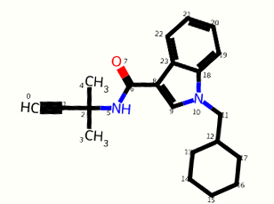 C#CC(C)(C)NC(=O)c1cn(CC2CCCCC2)c2ccccc12